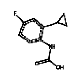 O=C(O)Nc1ccc(F)cc1C1CC1